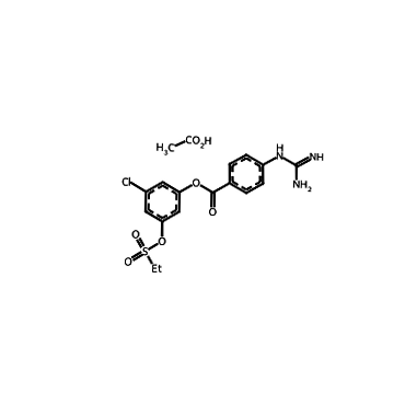 CC(=O)O.CCS(=O)(=O)Oc1cc(Cl)cc(OC(=O)c2ccc(NC(=N)N)cc2)c1